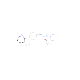 Cc1cccnc1C1CCC(CCNC2(C(N)=O)CCCC2)CC1